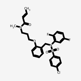 C/C=C/C(=O)N(C)CCCOc1ccccc1CN(c1cc(F)ccc1F)S(=O)(=O)c1ccc(Cl)cc1